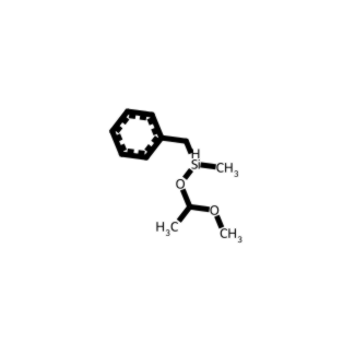 COC(C)O[SiH](C)Cc1ccccc1